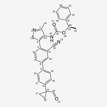 Cc1nsc(-c2ccc(-c3ccc(C4(C=O)CC4)cc3)cc2C#N)c1NC(=O)O[C@H](C)c1ccccc1